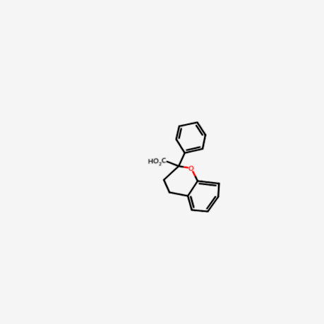 O=C(O)C1(c2ccccc2)CCc2ccccc2O1